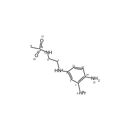 CCCc1cc(NCCNS(C)(=O)=O)ccc1N